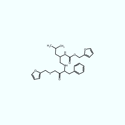 CC(C)CC(CNC(Cc1ccccc1)C(=O)CSCc1ccco1)NC(=O)OCc1ccco1